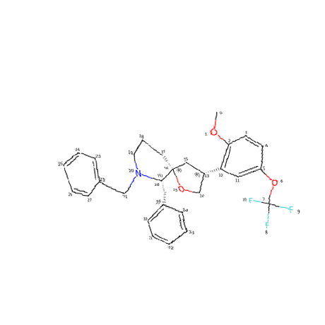 COc1ccc(OC(F)(F)F)cc1[C@@H]1CO[C@]2(CCCN(Cc3ccccc3)[C@H]2c2ccccc2)C1